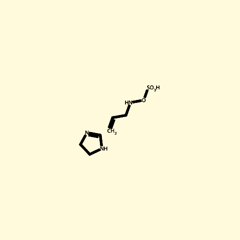 C1=NCCN1.C=CCNOS(=O)(=O)O